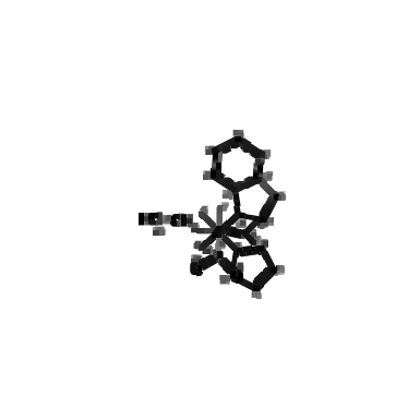 C[C](C)=[Zr]([CH3])([CH3])([CH3])([CH3])([C]1=CC=CC1)([CH]1C=Cc2ccccc21)[P](=O)=O.Cl.Cl